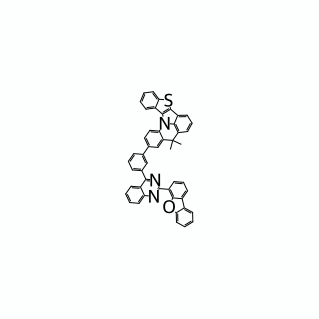 CC1(C)c2cc(-c3cccc(-c4nc(-c5cccc6c5oc5ccccc56)nc5ccccc45)c3)ccc2-n2c3c1cccc3c1sc3ccccc3c12